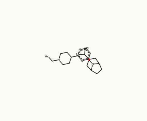 CCCC(CC)N1CC2CCC(C1)N2c1ccnc(C2CCN(CC(C)=O)CC2)n1